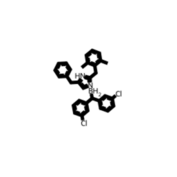 BC(c1cccc(Cl)c1)c1cccc(Cl)c1.Cc1cccc(C)c1Cc1ncc(Cc2ccccc2)[nH]1